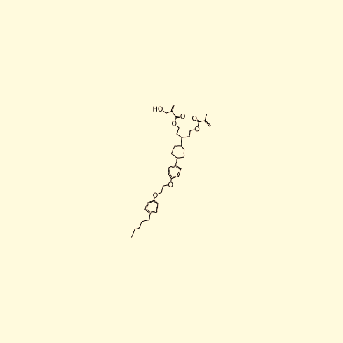 C=C(C)C(=O)OCCC(CCOC(=O)C(=C)CO)C1CCC(c2ccc(OCCOc3ccc(CCCCC)cc3)cc2)CC1